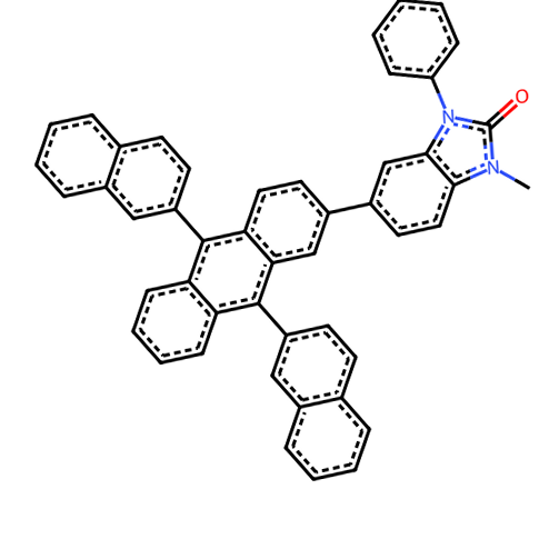 Cn1c(=O)n(-c2ccccc2)c2cc(-c3ccc4c(-c5ccc6ccccc6c5)c5ccccc5c(-c5ccc6ccccc6c5)c4c3)ccc21